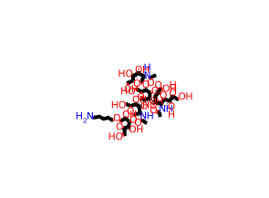 CC(=O)N[C@@H]1C(O[C@H]2C(CO)O[C@@H](O[C@H]3[C@H](O)C(CO)OC(OC4[C@H](O)C(OCCCCCN)OC(CO)[C@@H]4O)[C@H]3NC(C)=O)[C@@H](O)C2O[C@@]2(C(=O)O)C[C@H](O)[C@H](NC(C)=O)C([C@H](O)[C@H](O)CO)O2)OC(CO)[C@H](O)[C@@H]1O